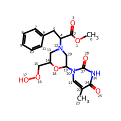 COC(=O)C(Cc1ccccc1)N1CC(COO)OC(n2cc(C)c(=O)[nH]c2=O)C1